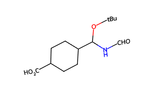 CC(C)(C)OC(NC=O)C1CCC(C(=O)O)CC1